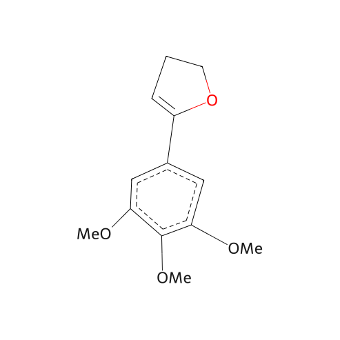 COc1cc(C2=CCCO2)cc(OC)c1OC